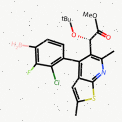 Bc1ccc(-c2c([C@H](OC(C)(C)C)C(=O)OC)c(C)nc3sc(C)cc23)c(Cl)c1F